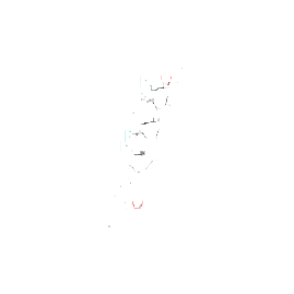 CCCC1CCC(c2ccc(-c3ccc(-c4ccc(OCC)c(F)c4F)c(F)c3F)c(F)c2)CO1